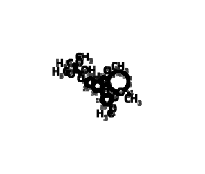 CC[C@H]1CCCC[C@@H](C)C(=O)C2=C[C@@H]3C(C(c4ccc(OC)cc4)=CC4C[C@@H](O[C@H](O)/C(OC)=C(/C)OC)C[C@H]43)[C@@H]2CC(=O)O1